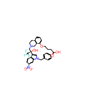 O=C(O)CCCOc1cccc2c1CN(CC(O)(c1cn(Cc3ccccc3)c3cc([N+](=O)[O-])ccc13)C(F)(F)F)CC2